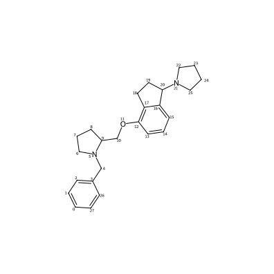 c1ccc(CN2CCCC2COc2cccc3c2CCC3N2CCCC2)cc1